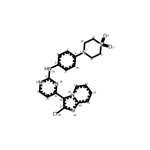 O=S1(=O)CCN(c2ccc(Nc3nccc(-c4c(Cl)nc5ccccn45)n3)cc2)CC1